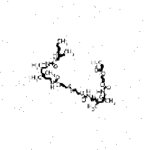 C=CC(=O)OCCOC(=O)NCC(C)(C)CC(C)CCNC(=O)OCCSSCCOC(=O)NCCC(C)(C)CC(C)CNC(=O)NCC(CC)CCCC